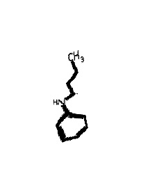 CCC[CH]Nc1ccccc1